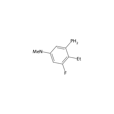 CCc1c(F)cc(NC)cc1P